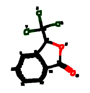 O=C1OC(C(Cl)(Cl)Cl)c2ccccc21